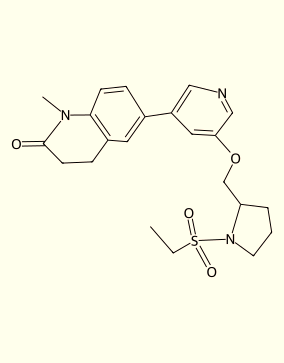 CCS(=O)(=O)N1CCCC1COc1cncc(-c2ccc3c(c2)CCC(=O)N3C)c1